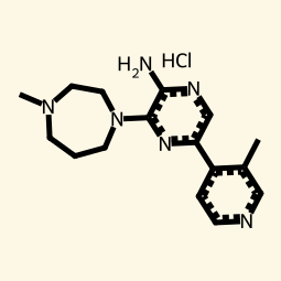 Cc1cnccc1-c1cnc(N)c(N2CCCN(C)CC2)n1.Cl